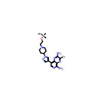 CCc1nc2c(N)ncc(-c3cnn(C4CCN(CCO[Si](C)(C)C(C)(C)C)CC4)c3)c2nc1N